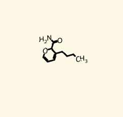 CCCCC1=CC=COC1C(N)=O